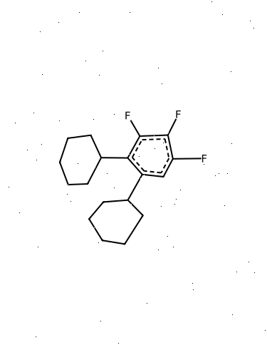 Fc1cc(C2CCCCC2)c(C2CCCCC2)c(F)c1F